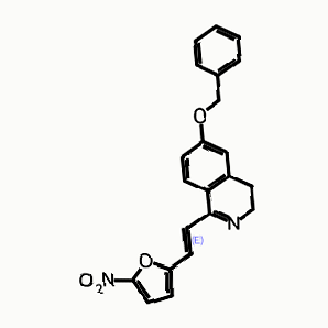 O=[N+]([O-])c1ccc(/C=C/C2=NCCc3cc(OCc4ccccc4)ccc32)o1